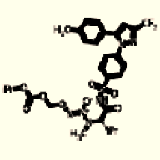 Cc1ccc(-c2cc(C(F)(F)F)nn2-c2ccc(S(=O)(=O)NC(=O)[C@H](C(C)C)N(C)/[N+]([O-])=N/OCOC(=O)OC(C)C)cc2)cc1